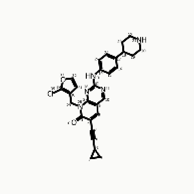 O=c1c(C#CC2CC2)cc2cnc(Nc3ccc(C4CCNCC4)cc3)nc2n1Cc1ccoc1Cl